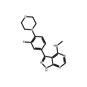 CNc1ncnc2[nH]nc(-c3ccc(N4CCOCC4)c(F)c3)c12